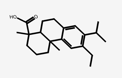 CCc1cc2c(cc1C(C)C)CCC1C(C)(C(=O)O)CCCC21C